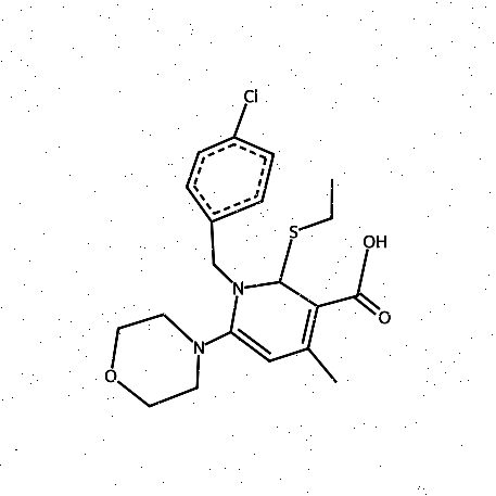 CCSC1C(C(=O)O)=C(C)C=C(N2CCOCC2)N1Cc1ccc(Cl)cc1